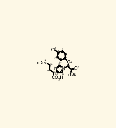 CC(C)(C)C(=O)C(Oc1ccc(Cl)cc1)n1ccnc1.CCCCCCCCCCCCCC(=O)O